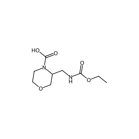 CCOC(=O)NCC1COCCN1C(=O)O